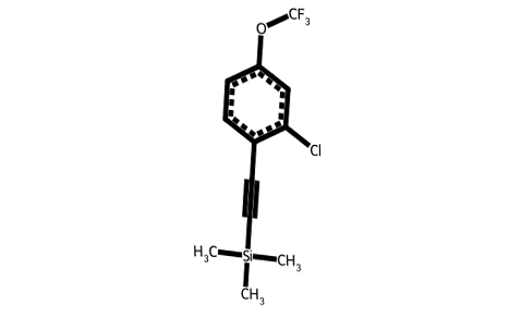 C[Si](C)(C)C#Cc1ccc(OC(F)(F)F)cc1Cl